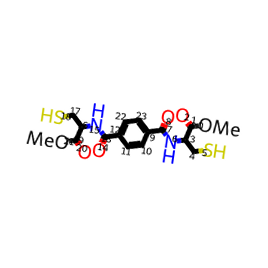 COC(=O)C(CS)NC(=O)c1ccc(C(=O)NC(CS)C(=O)OC)cc1